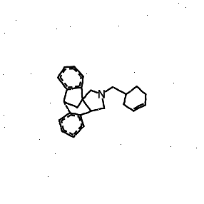 C1=CCC(CN2CC3c4ccccc4C4CC3(C2)c2ccccc24)CC1